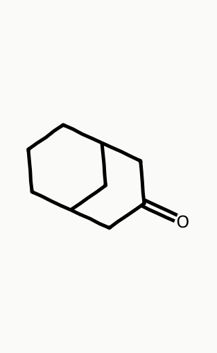 O=C1CC2CCCC(C1)C2